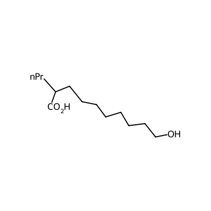 CCCC(CCCCCCCCO)C(=O)O